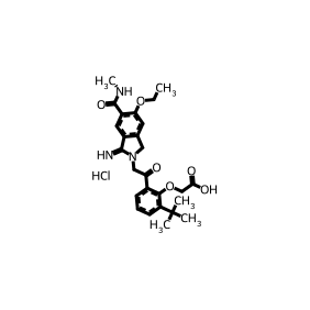 CCOc1cc2c(cc1C(=O)NC)C(=N)N(CC(=O)c1cccc(C(C)(C)C)c1OCC(=O)O)C2.Cl